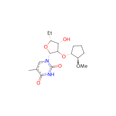 CC[C@H]1O[C@@H](n2cc(C)c(=O)[nH]c2=O)C(O[C@@H]2CCC[C@H]2OC)[C@H]1O